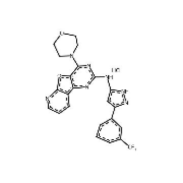 Cl.FC(F)(F)c1cccc(-c2cc(Nc3nc(N4CCOCC4)c4oc5ncccc5c4n3)[nH]n2)c1